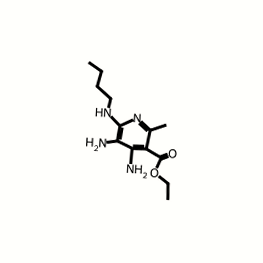 CCCCNc1nc(C)c(C(=O)OCC)c(N)c1N